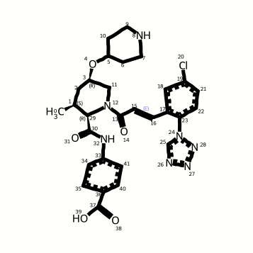 C[C@H]1C[C@@H](OC2CCNCC2)CN(C(=O)/C=C/c2cc(Cl)ccc2-n2cnnn2)[C@H]1C(=O)Nc1ccc(C(=O)O)cc1